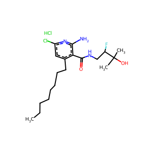 CCCCCCCCc1cc(Cl)nc(N)c1C(=O)NCC(F)C(C)(C)O.Cl